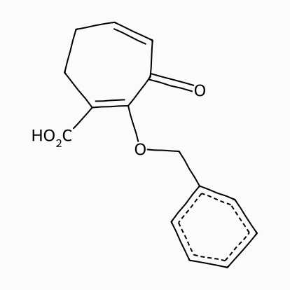 O=C(O)C1=C(OCc2ccccc2)C(=O)C=CCC1